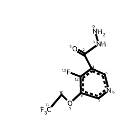 NNC(=O)c1cncc(OCC(F)(F)F)c1F